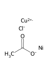 CC(=O)[O-].[Cl-].[Cu+2].[Ni]